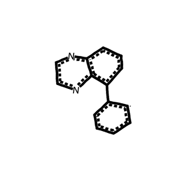 [c]1ccccc1-c1cccc2nccnc12